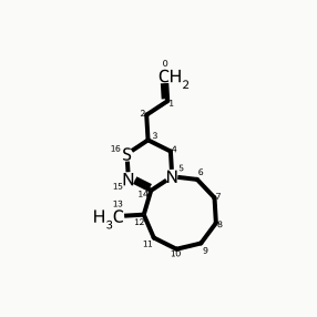 C=CCC1CN2CCCCCCC(C)C2=NS1